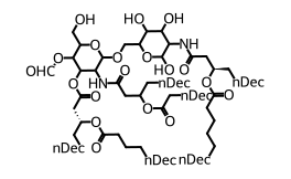 CCCCCCCCCCCCCCC(=O)O[C@H](CCCCCCCCCCC)CC(=O)NC1C(O)OC(COC2OC(CO)C(OC=O)C(OC(=O)C[C@@H](CCCCCCCCCCC)OC(=O)CCCCCCCCCCCCC)C2NC(=O)CC(CCCCCCCCCCC)OC(=O)CCCCCCCCCCC)C(O)C1O